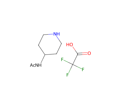 CC(=O)NC1CCNCC1.O=C(O)C(F)(F)F